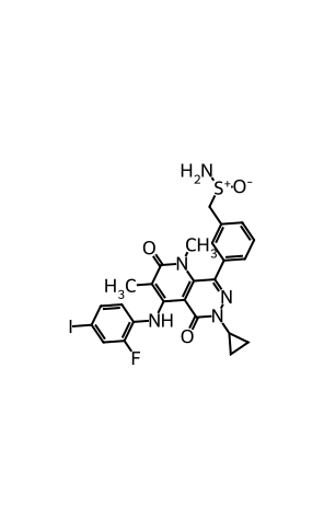 Cc1c(Nc2ccc(I)cc2F)c2c(=O)n(C3CC3)nc(-c3cccc(C[S+](N)[O-])c3)c2n(C)c1=O